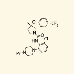 CC(C)N1CCN(c2cccc(Cl)c2NC(=O)N2CC[C@](C)(Oc3ccc(C(F)(F)F)cc3)C2)CC1